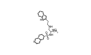 CC(CNCCc1cc2ccccc2[nH]1)NS(=O)(=O)c1ccc2cnccc2c1.Cl